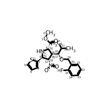 COC(=O)[C@H]1N[C@H](c2cccs2)[C@@H]([N+](=O)[O-])[C@@H]1[C@@H](OCc1ccccc1F)C(C)C